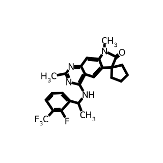 Cc1nc(NC(C)c2cccc(C(F)(F)F)c2F)c2cc3c(cc2n1)N(C)C(=O)C31CCCC1